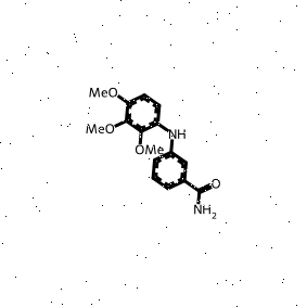 COc1ccc(Nc2cccc(C(N)=O)c2)c(OC)c1OC